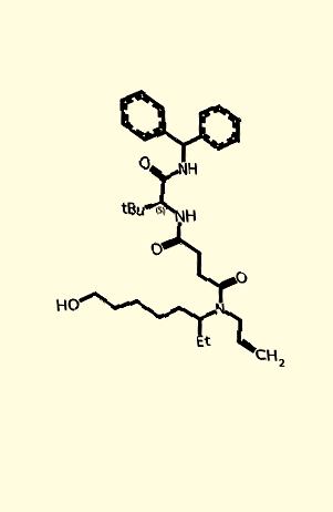 C=CCN(C(=O)CCC(=O)N[C@H](C(=O)NC(c1ccccc1)c1ccccc1)C(C)(C)C)C(CC)CCCCCO